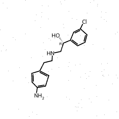 Nc1ccc(CCNC[C@H](O)c2cccc(Cl)c2)cc1